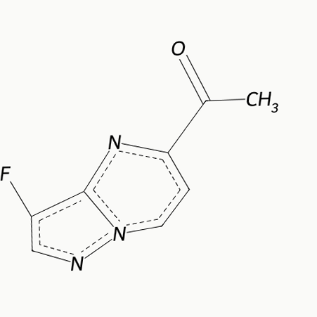 CC(=O)c1ccn2ncc(F)c2n1